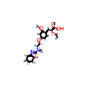 CCOC(Cc1ccc(OCCN(C)c2nc3ccccc3o2)cc1OC)C(=O)O